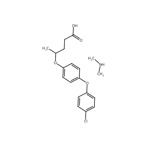 CC(CCC(=O)O)Oc1ccc(Oc2ccc(Cl)cc2)cc1.CNC